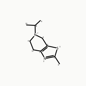 Cc1nc2c(s1)CN(C(C)C)CC2